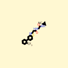 N#CC1(NC(=O)CNC(=O)Cc2nc3cc(-c4ccccc4C(F)(F)F)ccc3s2)CC1